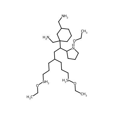 CCO[SiH2]CCCC(CCC[SiH2]OCC)CC(C1CCC[SiH]1OCC)C1(CN)CCCC(CN)C1